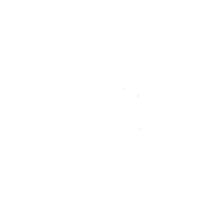 CCCC1(O)CC[C@@]2(Cc3cccc(N)c3)c3ccc(O)cc3CC[C@H]2C1